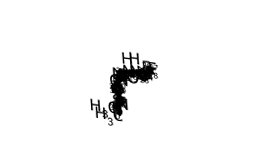 CCN(C)c1ncc(-c2ccc(Oc3ncc(NC(=O)Nc4cccc(C(F)(F)F)c4)cn3)cc2)s1